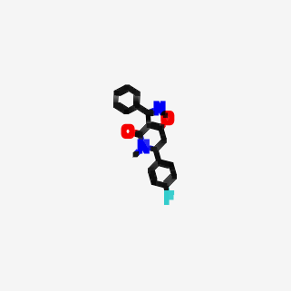 CN1C(=O)c2c(-c3ccccc3)noc2CC1c1ccc(F)cc1